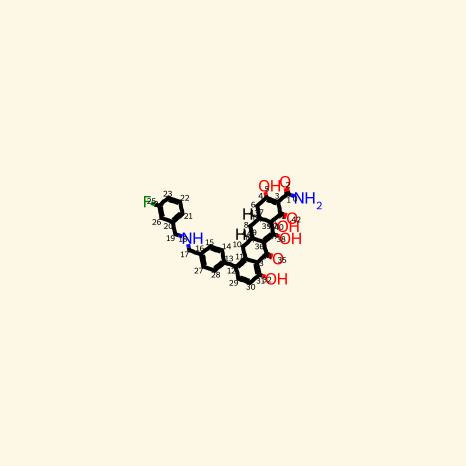 NC(=O)C1=C(O)C[C@@H]2C[C@@H]3Cc4c(-c5ccc(CNCc6cccc(F)c6)cc5)ccc(O)c4C(=O)C3=C(O)[C@]2(O)C1=O